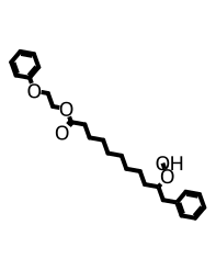 O=C(CCCCCCCCC(Cc1ccccc1)OO)OCCOc1ccccc1